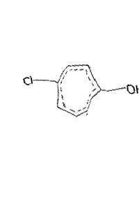 Oc1[c]cc(Cl)cc1